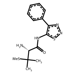 CSC(C)(C)[C@H](N)C(=O)Nc1snnc1-c1ccccc1